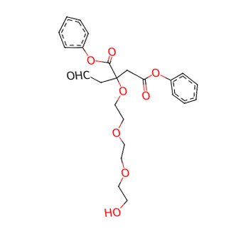 O=CCC(CC(=O)Oc1ccccc1)(OCCOCCOCCO)C(=O)Oc1ccccc1